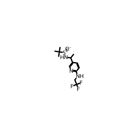 CC(N[S@+]([O-])C(C)(C)C)c1ccc(NCC(F)(F)F)nc1